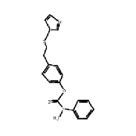 CN(C(=O)Oc1ccc(CCOn2ccnc2)cc1)c1ccccc1